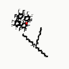 CCCCCCCC[NH+](CCCCCCCC)CCCCCCCC.Fc1c(F)c(F)c([B-](c2c(F)c(F)c(F)c(F)c2F)(c2c(F)c(F)c(F)c(F)c2F)c2c(F)c(F)c(F)c(F)c2F)c(F)c1F